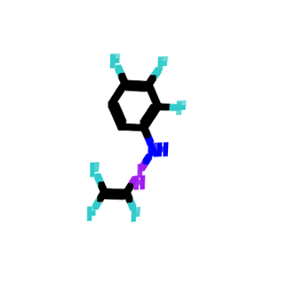 FC(F)=C(F)[IH]Nc1ccc(F)c(F)c1F